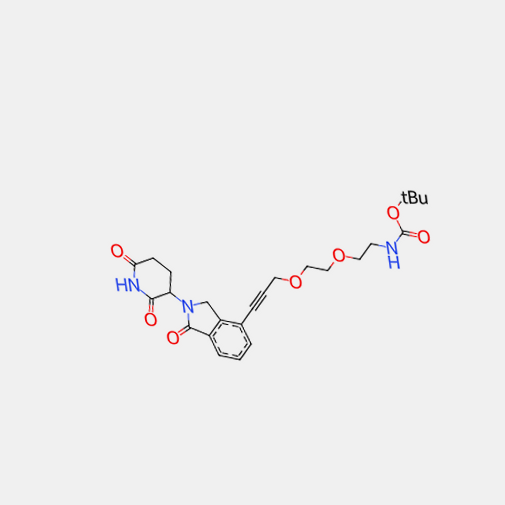 CC(C)(C)OC(=O)NCCOCCOCC#Cc1cccc2c1CN(C1CCC(=O)NC1=O)C2=O